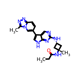 CCC(=O)N[C@]1(C)C[C@H](Nc2ncc3c(-c4ccc5nnc(C)n5c4)c[nH]c3n2)C1